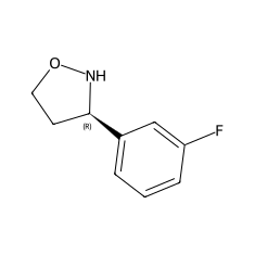 Fc1cccc([C@H]2CCON2)c1